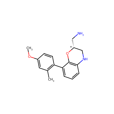 COc1ccc(-c2cccc3c2O[C@H](CN)CN3)c(C)c1